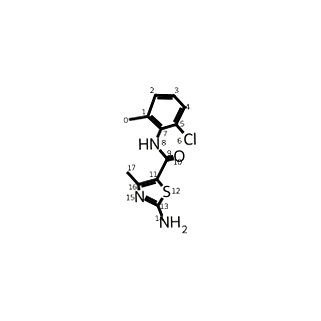 Cc1cccc(Cl)c1NC(=O)c1sc(N)nc1C